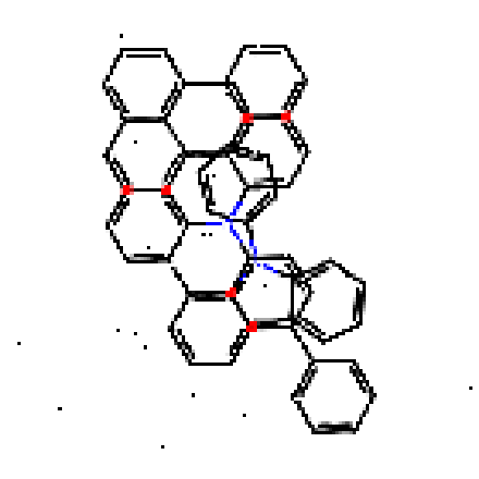 c1ccc(-c2ccc(N(c3ccccc3-c3cccc4cccc(-c5ccccc5)c34)c3ccccc3-c3cccc4c5ccccc5n(-c5ccccc5)c34)cc2)cc1